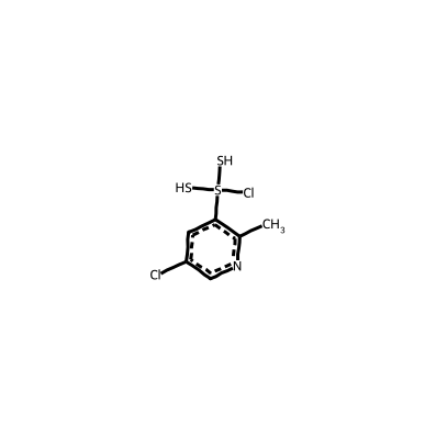 Cc1ncc(Cl)cc1S(S)(S)Cl